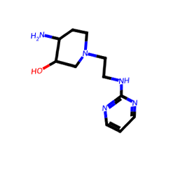 NC1CCN(CCNc2ncccn2)CC1O